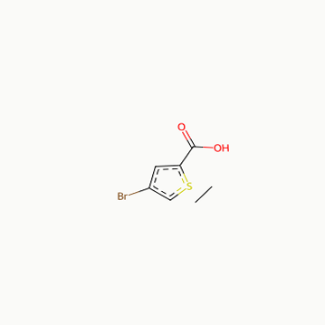 CC.O=C(O)c1cc(Br)cs1